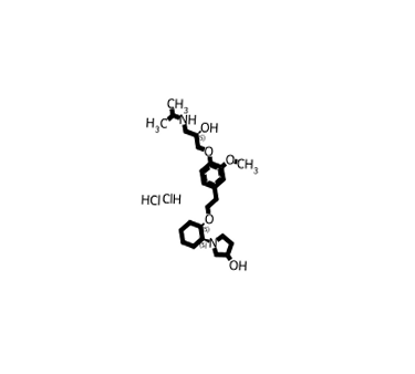 COc1cc(CCO[C@H]2CCCC[C@@H]2N2CCC(O)C2)ccc1OC[C@@H](O)CNC(C)C.Cl.Cl